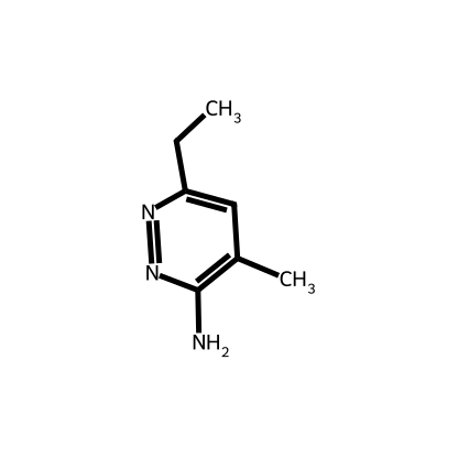 CCc1cc(C)c(N)nn1